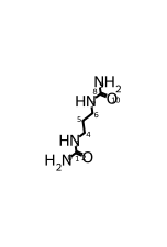 NC(=O)NCCCNC(N)=O